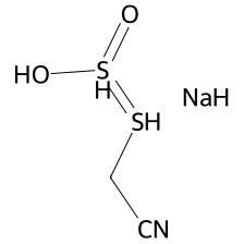 N#CC[SH]=[SH](=O)O.[NaH]